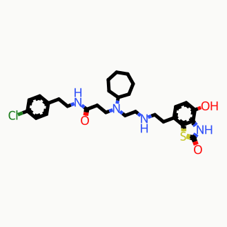 O=C(CCN(CCNCCc1ccc(O)c2[nH]c(=O)sc12)C1CCCCCC1)NCCc1ccc(Cl)cc1